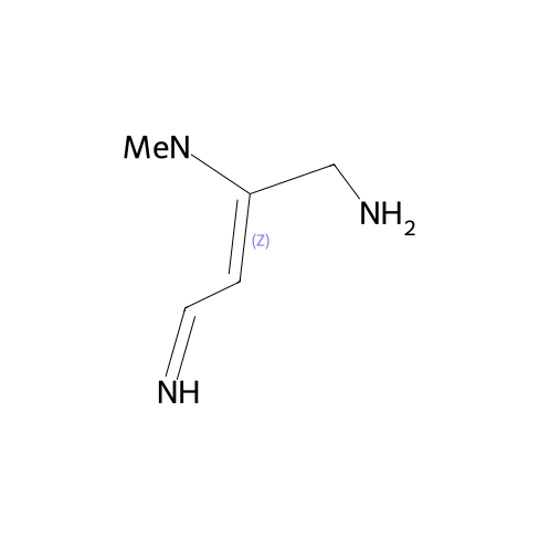 CN/C(=C\C=N)CN